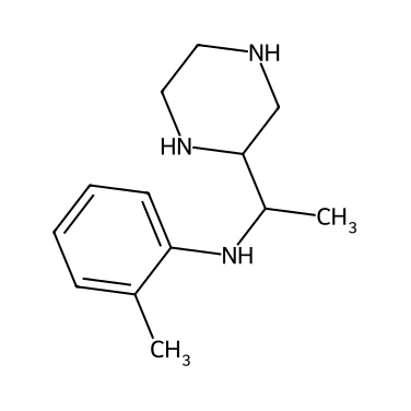 Cc1ccccc1NC(C)C1CNCCN1